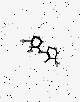 CC1=C(Nc2cccc(N)c2Cl)CCCC1O